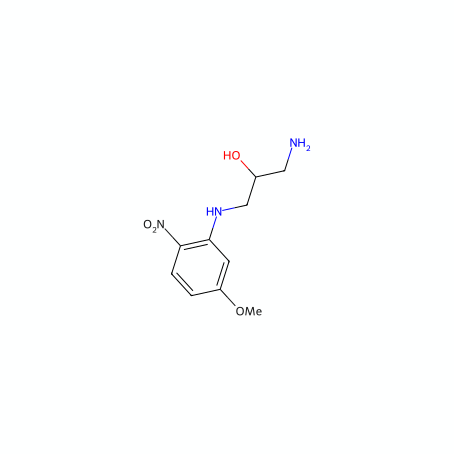 COc1ccc([N+](=O)[O-])c(NCC(O)CN)c1